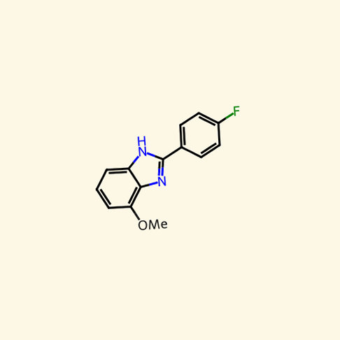 COc1cccc2[nH]c(-c3ccc(F)cc3)nc12